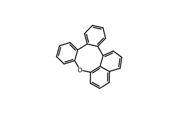 c1ccc2c(c1)Oc1cccc3cccc(c13)-c1ccccc1-2